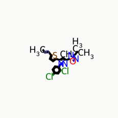 C/C=C/c1ccc(-c2c(C)c(-c3nc(C(C)C)no3)nn2-c2ccc(Cl)cc2Cl)s1